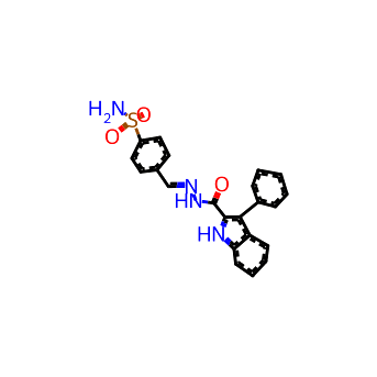 NS(=O)(=O)c1ccc(C=NNC(=O)c2[nH]c3ccccc3c2-c2ccccc2)cc1